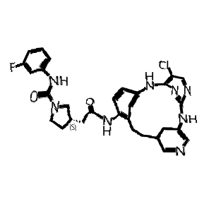 O=C(C[C@@H]1CCN(C(=O)Nc2cccc(F)c2)C1)Nc1ccc2cc1CCC1C=NC=C(C1)Nc1ncc(Cl)c(n1)N2